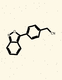 N#CCc1ccc(-c2onc3ccccc23)cc1